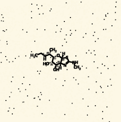 CCN[C@H](C)[C@@H]1O[C@@H]2SC(NC)=N[C@@H]2[C@@H](O)[C@@H]1O